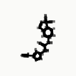 N#Cc1ccc(NC(=O)Nc2ccc3c(c2)C=CS3(=O)=O)s1